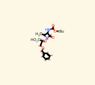 CC1C(NC(=O)OC(C)(C)C)C(=O)N1OC(COCc1ccccc1)C(=O)O